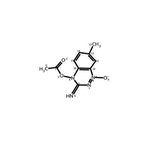 CC(=O)On1c(=N)n[n+]([O-])c2cc(C)ccc21